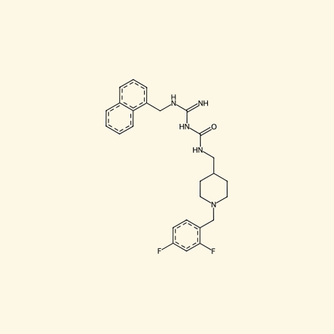 N=C(NCc1cccc2ccccc12)NC(=O)NCC1CCN(Cc2ccc(F)cc2F)CC1